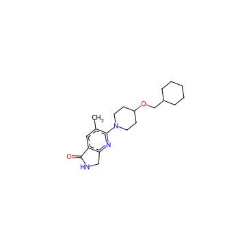 Cc1cc2c(nc1N1CCC(OCC3CCCCC3)CC1)CNC2=O